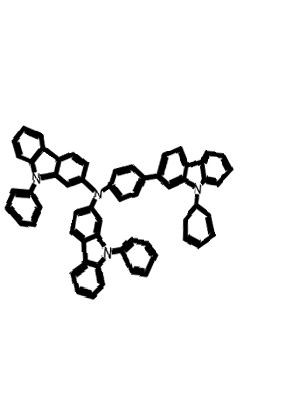 C1=CCC(n2c3ccccc3c3ccc(-c4ccc(N(C5=CC6C(C=C5)C5C=CC=CC5N6c5ccccc5)c5ccc6c7ccccc7n(-c7ccccc7)c6c5)cc4)cc32)C=C1